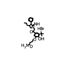 Br.CCCC1CN(CC(=O)c2cc(OCCCC(N)=O)c(O)c(C(C)(C)C)c2)C(=N)C1c1ccccc1